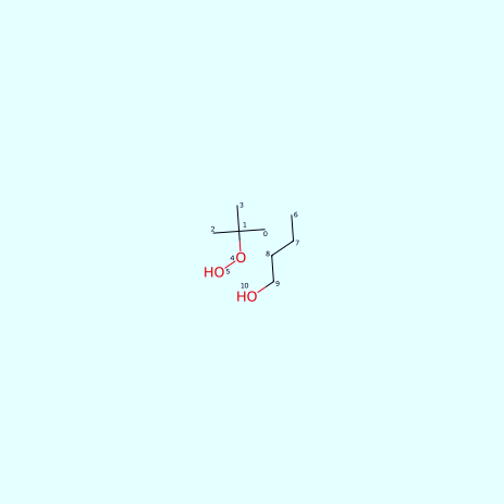 CC(C)(C)OO.CCCCO